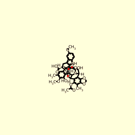 COc1ccc2[nH]c3c(c2c1)C[C@H](C(=O)O)N[C@]31CS[C@@H]2c3c(OC(C)=O)c(C)c4c(c3[C@H](COC1=O)N1[C@@H]2[C@H]2c3c(cc(C)c(OC)c3O)C3(C)C[C@@]1(O)CN23)OCO4